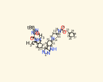 Cc1cc(-c2ncnc3[nH]c4cc(N5CCC6(CCN(C(=O)OCc7ccccc7)C6)CC5)ccc4c23)ccc1[C@@H](C)NC(=O)c1nc(C(C)(C)C)no1